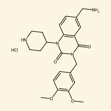 COc1ccc(Cn2c(=O)c3cc(CN)ccc3n(C3CCNCC3)c2=O)cc1OC.Cl